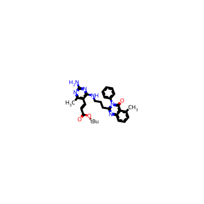 Cc1nc(N)nc(NCCCc2nc3cccc(C)c3c(=O)n2-c2ccccc2)c1C=CC(=O)OC(C)(C)C